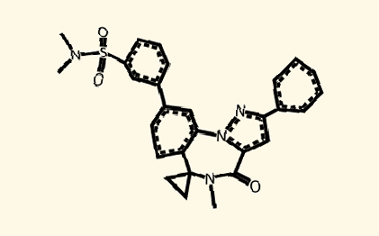 CN1C(=O)c2cc(-c3ccccc3)nn2-c2cc(-c3cccc(S(=O)(=O)N(C)C)c3)ccc2C12CC2